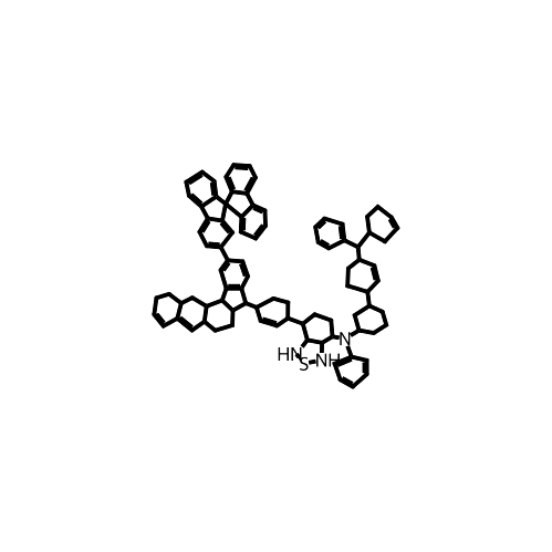 C1=CC2=CC3CCC4C(C5C=CC(C6CCC(N(c7ccccc7)C7CCCC(C8C=CC(C(c9ccccc9)C9CC=CCC9)CC8)C7)C7NSNC67)CC5)c5ccc(-c6ccc7c(c6)C6(c8ccccc8-c8ccccc86)c6ccccc6-7)cc5C4C3CC2CC1